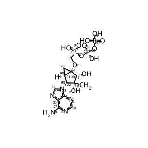 CC1(O)[C@@H](O)[C@]2(OCP(=O)(O)OP(=O)(O)OP(=O)(O)O)C[C@@H]2[C@H]1n1cnc2c(N)ncnc21